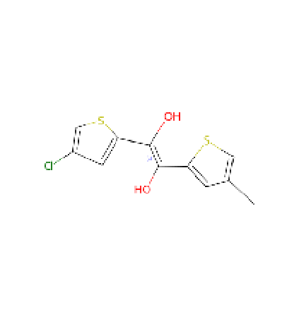 Cc1csc(/C(O)=C(\O)c2cc(Cl)cs2)c1